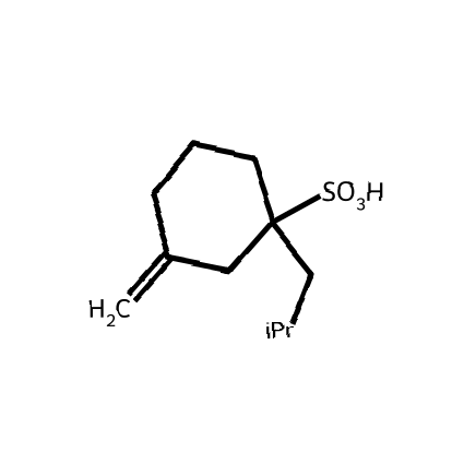 C=C1CCCC(CC(C)C)(S(=O)(=O)O)C1